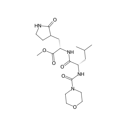 COC(=O)[C@H](CC1CCNC1=O)NC(=O)[C@H](CC(C)C)NC(=O)N1CCOCC1